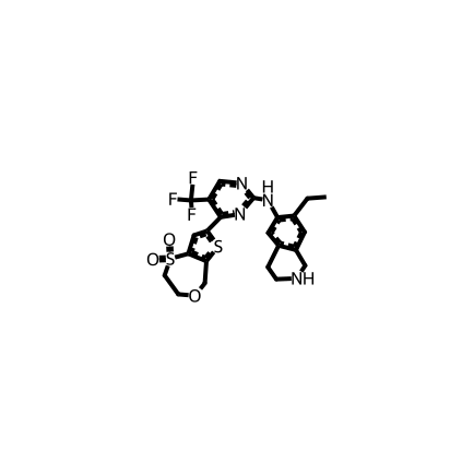 CCc1cc2c(cc1Nc1ncc(C(F)(F)F)c(-c3cc4c(s3)COCCS4(=O)=O)n1)CCNC2